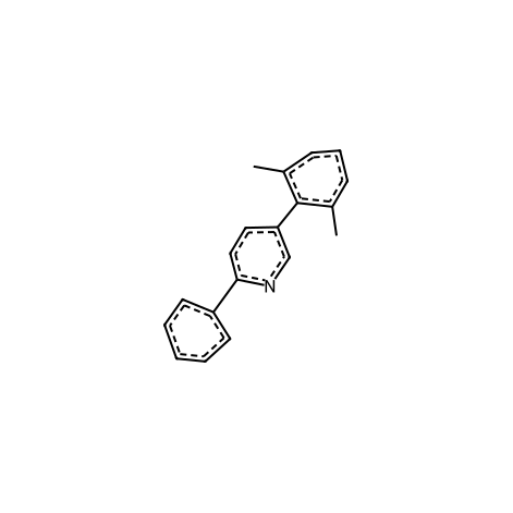 Cc1cccc(C)c1-c1ccc(-c2ccccc2)nc1